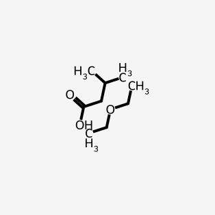 CC(C)CC(=O)O.CCOCC